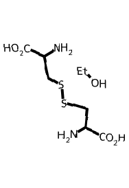 CCO.NC(CSSCC(N)C(=O)O)C(=O)O